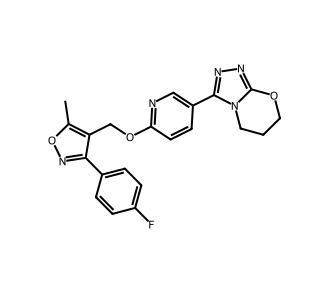 Cc1onc(-c2ccc(F)cc2)c1COc1ccc(-c2nnc3n2CCCO3)cn1